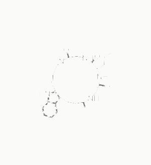 CC[C@H](C)[C@@H]1NC(=O)CNC(=O)CCc2c([nH]c3ccccc23)SCCNC(=O)CNC1=O